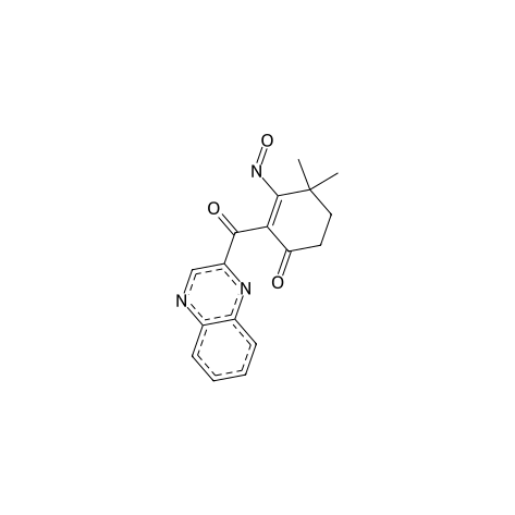 CC1(C)CCC(=O)C(C(=O)c2cnc3ccccc3n2)=C1N=O